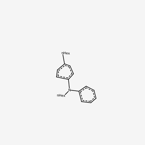 CCCCCCc1ccc(N(CCCCCC)c2ccccc2)cc1